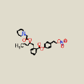 CCCC(Cc1ccccc1C(=O)Oc1ccc(CCO[N+](=O)[O-])cc1)OC(=O)CN1CCCCC1